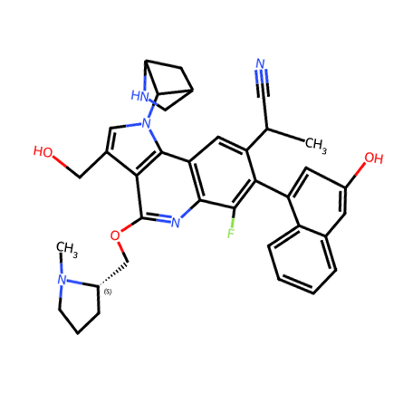 CC(C#N)c1cc2c(nc(OC[C@@H]3CCCN3C)c3c(CO)cn(C4C5CNC4C5)c32)c(F)c1-c1cc(O)cc2ccccc12